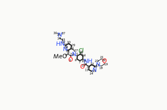 COC1C(=O)N(c2ccc(NC(=O)c3ccnc(N4CCOCC4)c3)cc2Cl)Cc2ccc(NCCN(C)C)nc21